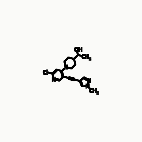 CC(O)C1CCN(c2cc(Cl)ncc2C#Cc2cnn(C)c2)CC1